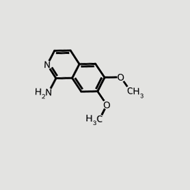 COc1cc2ccnc(N)c2cc1OC